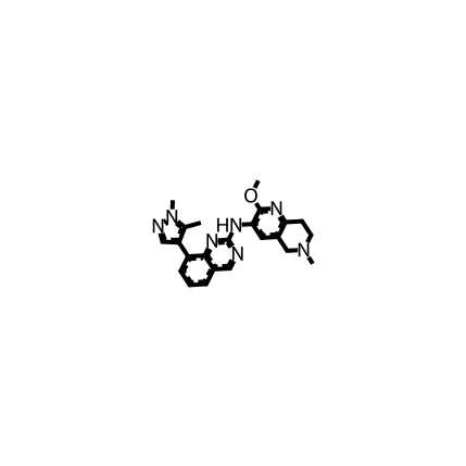 COc1nc2c(cc1Nc1ncc3cccc(-c4cnn(C)c4C)c3n1)CN(C)CC2